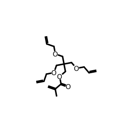 C=CCOCC(COCC=C)(COCC=C)COC(=O)C(=C)C